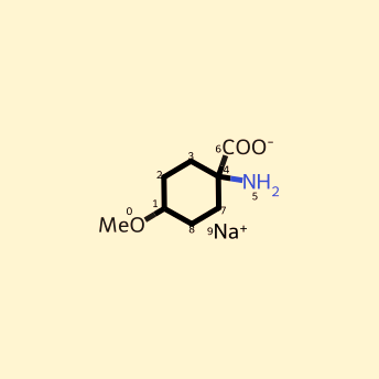 COC1CCC(N)(C(=O)[O-])CC1.[Na+]